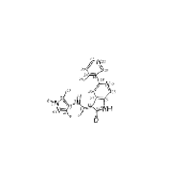 CC(Nc1c(C)nn(C)c1C)=C1C(=O)Nc2cnc(-c3cnccc3C)cc21